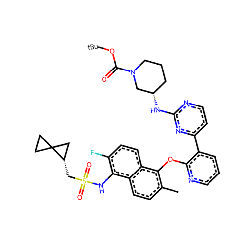 Cc1ccc2c(NS(=O)(=O)C[C@H]3CC34CC4)c(F)ccc2c1Oc1ncccc1-c1ccnc(N[C@H]2CCCN(C(=O)OC(C)(C)C)C2)n1